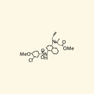 C#CCN(c1ccc(NS(=O)(=O)c2ccc(OC)c(Cl)c2)c2ccccc12)[C@@H](C)CC(=O)OC